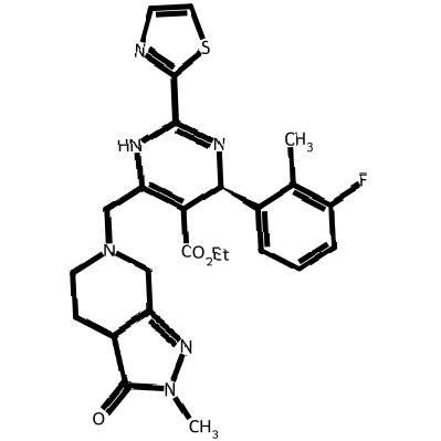 CCOC(=O)C1=C(CN2CCC3C(=O)N(C)N=C3C2)NC(c2nccs2)=N[C@H]1c1cccc(F)c1C